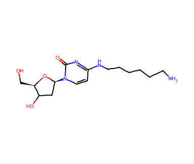 NCCCCCCNc1ccn([C@H]2CC(O)[C@@H](CO)O2)c(=O)n1